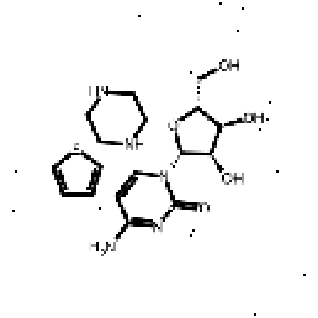 C1CNCCN1.Nc1ccn([C@@H]2O[C@H](CO)[C@@H](O)[C@H]2O)c(=O)n1.c1ccsc1